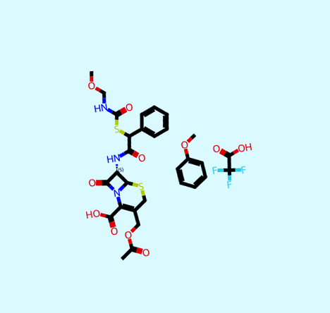 COCNC(=O)SC(C(=O)N[C@H]1C(=O)N2C(C(=O)O)=C(COC(C)=O)CSC12)c1ccccc1.COc1ccccc1.O=C(O)C(F)(F)F